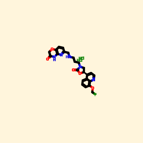 Cl.Cl.O=C1COc2ccc(CNCCCN3C[C@@H](c4ccnc5c(OCF)cccc45)OC3=O)nc2N1